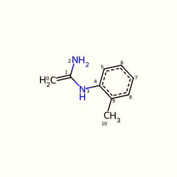 C=C(N)Nc1ccccc1C